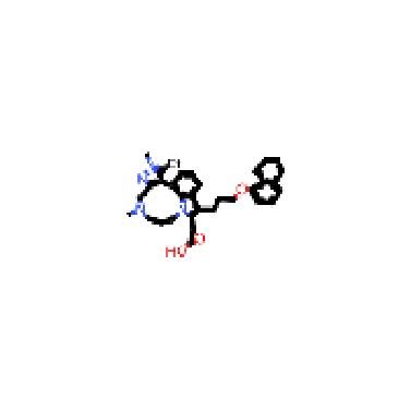 CCc1c2c(nn1C)CN(C)CCCn1c(C3OC3O)c(CCCOc3cccc4ccccc34)c3cccc-2c31